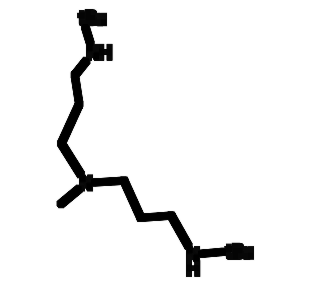 CN(CCCNC(C)(C)C)CCCNC(C)(C)C